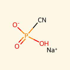 N#CP(=O)([O-])O.[Na+]